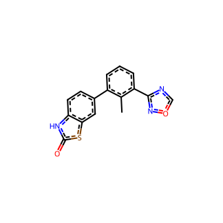 Cc1c(-c2ccc3[nH]c(=O)sc3c2)cccc1-c1ncon1